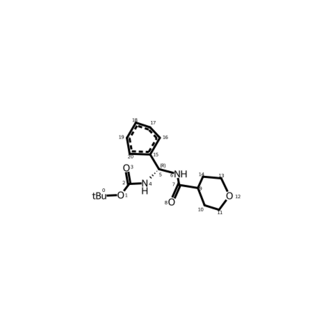 CC(C)(C)OC(=O)N[C@@H](NC(=O)C1CCOCC1)c1ccccc1